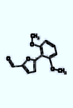 COc1cccc(OC)c1-c1ccc(C=O)o1